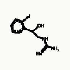 N=C(N)NC[C@H](O)c1ccccc1I